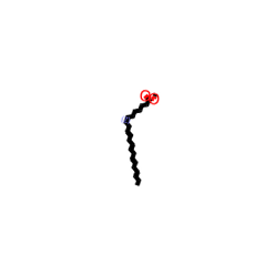 CCC=CCC=CCC=CCC=CC/C=C\CCCCCC(=O)OC